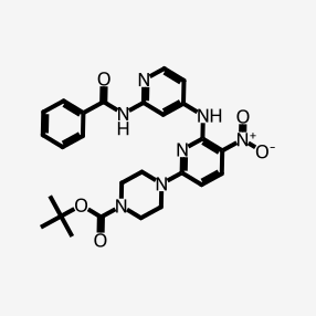 CC(C)(C)OC(=O)N1CCN(c2ccc([N+](=O)[O-])c(Nc3ccnc(NC(=O)c4ccccc4)c3)n2)CC1